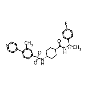 Cc1cc(S(=O)(=O)N[C@H]2CC[C@H](C(=O)N[C@H](C)c3ccc(F)cc3)CC2)ccc1-c1ccncc1